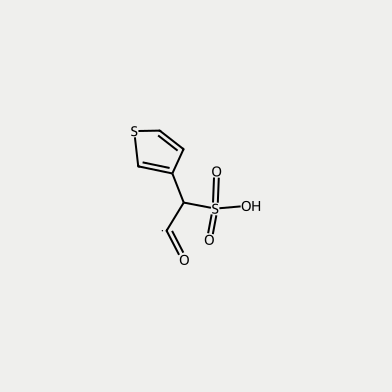 O=[C]C(c1ccsc1)S(=O)(=O)O